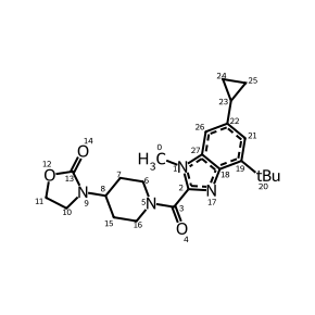 Cn1c(C(=O)N2CCC(N3CCOC3=O)CC2)nc2c(C(C)(C)C)cc(C3CC3)cc21